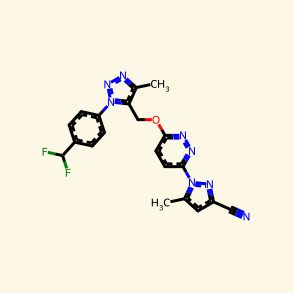 Cc1nnn(-c2ccc(C(F)F)cc2)c1COc1ccc(-n2nc(C#N)cc2C)nn1